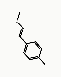 CO/N=C/c1ccc(C)cc1